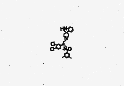 Cc1cc(C)cc(C(=O)N(C)C[C@@H](CCN2CCC3(CC2)CNc2ccccc23)c2ccc(Cl)c(Cl)c2)c1